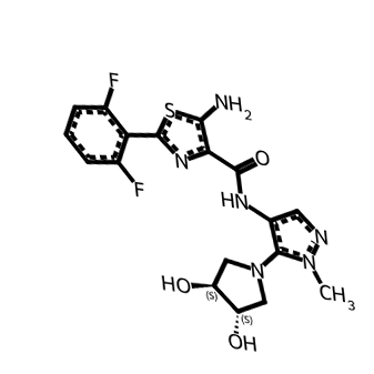 Cn1ncc(NC(=O)c2nc(-c3c(F)cccc3F)sc2N)c1N1C[C@H](O)[C@@H](O)C1